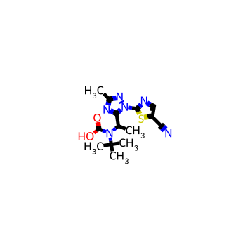 Cc1nc(C(C)N(C(=O)O)C(C)(C)C)n(-c2ncc(C#N)s2)n1